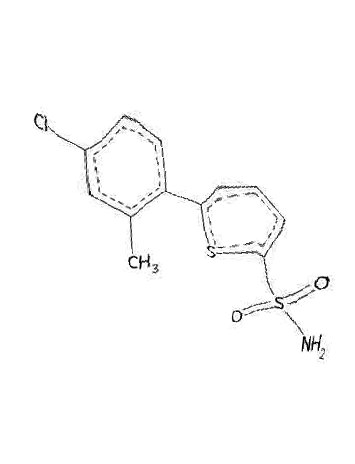 Cc1cc(Cl)ccc1-c1ccc(S(N)(=O)=O)s1